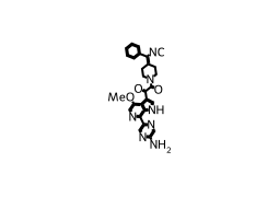 [C-]#[N+]C(=C1CCN(C(=O)C(=O)c2c[nH]c3c(-c4cnc(N)cn4)ncc(OC)c23)CC1)c1ccccc1